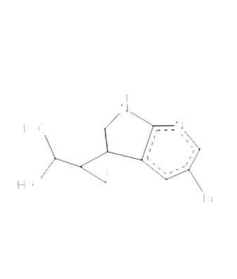 CC(C)C1C[C@@]12CNc1ncc(Br)cc12